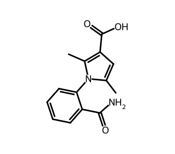 Cc1cc(C(=O)O)c(C)n1-c1ccccc1C(N)=O